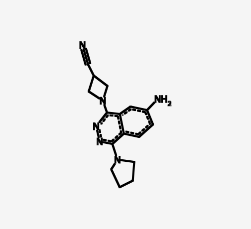 N#CC1CN(c2nnc(N3CCCC3)c3ccc(N)cc23)C1